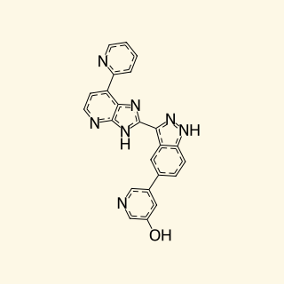 Oc1cncc(-c2ccc3[nH]nc(-c4nc5c(-c6ccccn6)ccnc5[nH]4)c3c2)c1